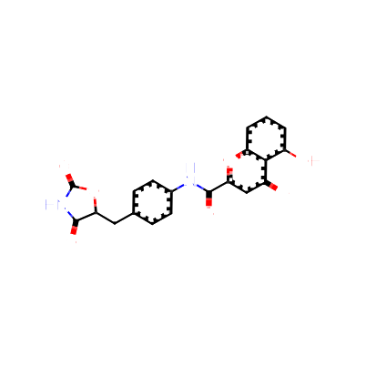 O=C1NC(=O)C(Cc2ccc(NC(=O)c3cc(=O)c4c(O)cccc4o3)cc2)O1